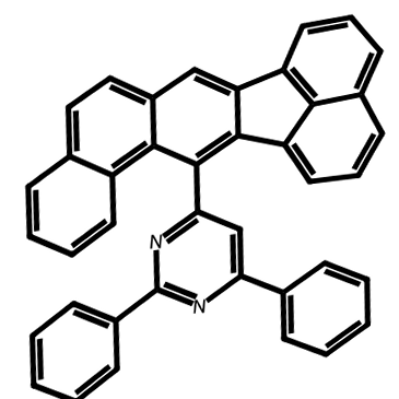 c1ccc(-c2cc(-c3c4c(cc5ccc6ccccc6c35)-c3cccc5cccc-4c35)nc(-c3ccccc3)n2)cc1